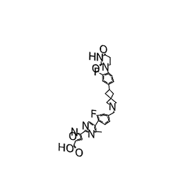 Cc1nc(-c2cc(C(=O)O)on2)ncc1-c1ccc(CN2CC3(CC(c4ccc(N5CCC(=O)NC5=O)c(F)c4)C3)C2)cc1F